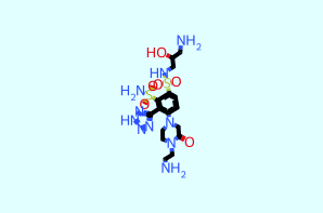 NCCN1CCN(c2ccc(S(=O)(=O)NCC(O)CN)c(S(N)(=O)=O)c2-c2nn[nH]n2)CC1=O